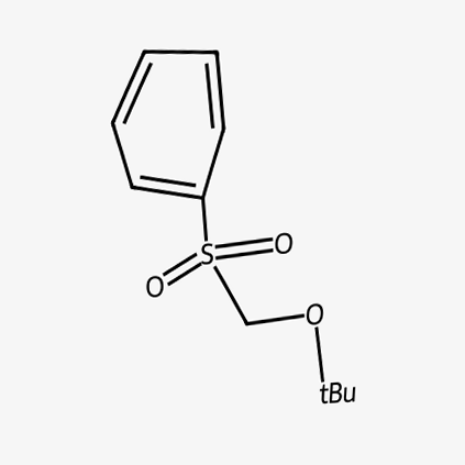 CC(C)(C)OCS(=O)(=O)c1ccccc1